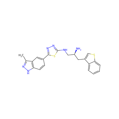 Cc1n[nH]c2ccc(-c3nnc(NC[C@@H](N)Cc4csc5ccccc45)s3)cc12